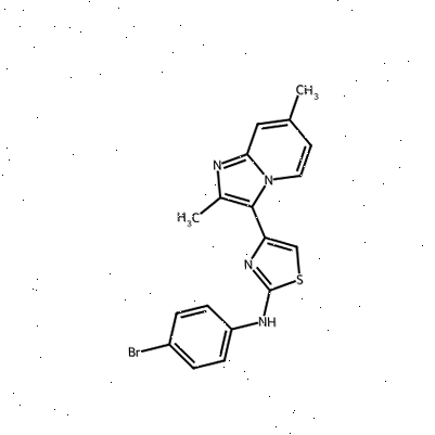 Cc1ccn2c(-c3csc(Nc4ccc(Br)cc4)n3)c(C)nc2c1